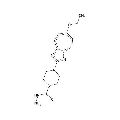 CCOc1ccc2nc(N3CCN(C(=S)NN)CC3)nc-2cc1